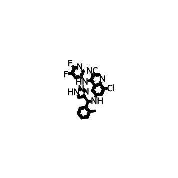 Cc1ccccc1C(Nc1cc(Cl)c2ncc(C#N)c(Nc3cnc(F)c(F)c3)c2c1)c1c[nH]nn1